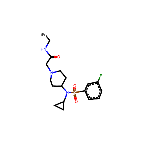 CC(C)CNC(=O)CN1CCC(N(C2CC2)S(=O)(=O)c2cccc(F)c2)CC1